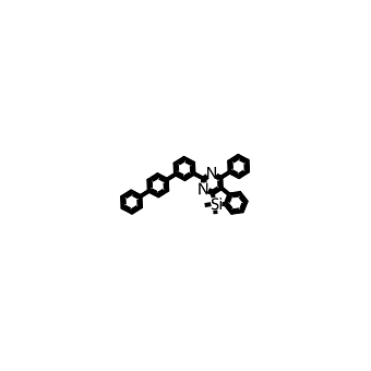 C[Si]1(C)c2ccccc2-c2c(-c3ccccc3)nc(-c3cccc(-c4ccc(-c5ccccc5)cc4)c3)nc21